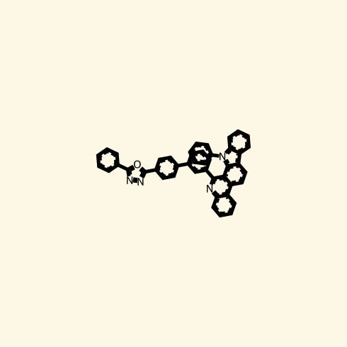 c1ccc(-c2nnc(-c3ccc(-c4cccc(-c5nc6ccccc6c6ccc7c8ccccc8n(-c8ccccc8)c7c56)c4)cc3)o2)cc1